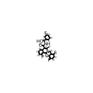 Cc1c(C(=O)N[C@@H](O)c2cccc(F)c2)c2cccc(F)c2c(=O)n1Cc1cc(F)ccc1F